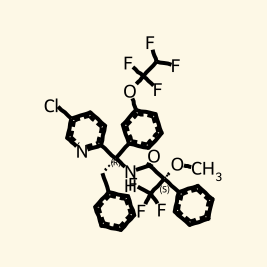 CO[C@](C(=O)N[C@](Cc1ccccc1)(c1cccc(OC(F)(F)C(F)F)c1)c1ccc(Cl)cn1)(c1ccccc1)C(F)(F)F